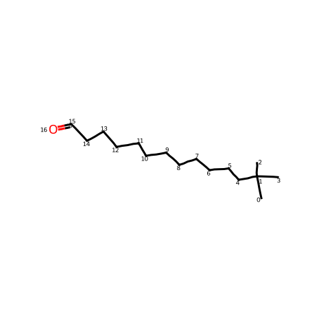 CC(C)(C)CCCCCCCCCCC[C]=O